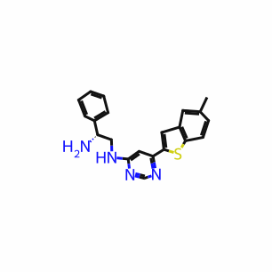 Cc1ccc2sc(-c3cc(NC[C@H](N)c4ccccc4)ncn3)cc2c1